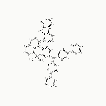 CC1(C)c2cc(N(c3ccc(-c4ccccc4)cc3)c3ccc(-c4ccccc4)cc3)ccc2-c2c(-c3cccc4c3sc3ccccc34)ccc3cccc1c23